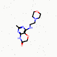 Cc1nc(NCCN2CCOCC2)c2c(n1)NC(=O)CO2